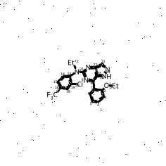 CCOc1ccccc1-c1nc(N(CC)c2ccc(C(F)(F)F)cc2Cl)nc2cn[nH]c12